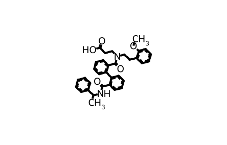 COc1ccccc1CCN(CCC(=O)O)C(=O)c1ccccc1-c1ccccc1C(=O)NC(C)c1ccccc1